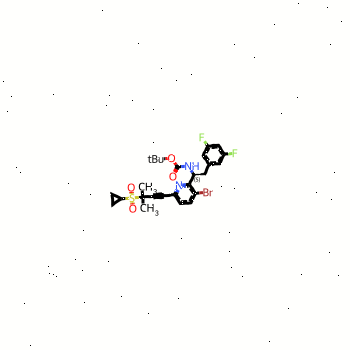 CC(C)(C)OC(=O)N[C@@H](Cc1cc(F)cc(F)c1)c1nc(C#CC(C)(C)S(=O)(=O)C2CC2)ccc1Br